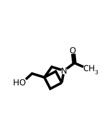 CC(=O)N1CC2(CO)CC1C2